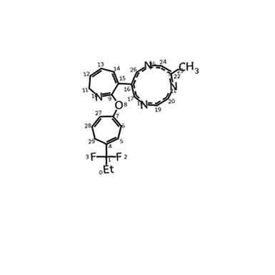 CCC(F)(F)C1=CC=C(OC2=NCC=CC=C2c2cnccnc(C)cnc2)C=CC1